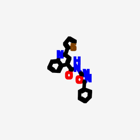 O=C(Nc1nnc(-c2ccccc2)o1)c1cc(-c2cccs2)nc2ccccc12